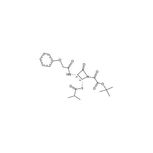 CC(C)C(=O)S[C@@H]1[C@H](NC(=O)COc2ccccc2)C(=O)N1C(=O)C(=O)OC(C)(C)C